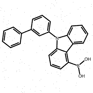 OB(O)c1cccc2c1c1ccccc1n2-c1cccc(-c2ccccc2)c1